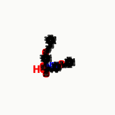 O=C(N[C@@H](Cc1ccc(OCc2ccccc2)cc1)C(=O)O)c1ccc(OCCCc2ccccc2)cc1